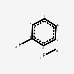 CF.Fc1ccccc1